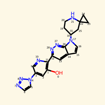 Oc1cc(-n2ccnn2)cnc1-c1cc2ccn([C@H]3CCNC4(CC4)C3)c2nn1